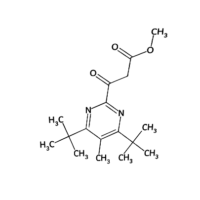 COC(=O)CC(=O)c1nc(C(C)(C)C)c(C)c(C(C)(C)C)n1